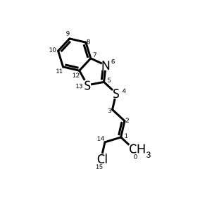 CC(=CCSc1nc2ccccc2s1)CCl